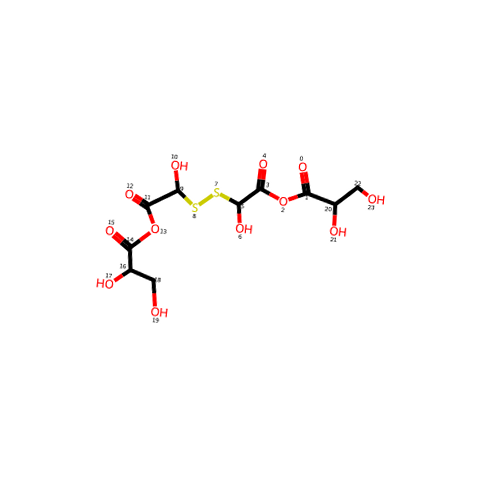 O=C(OC(=O)C(O)SSC(O)C(=O)OC(=O)C(O)CO)C(O)CO